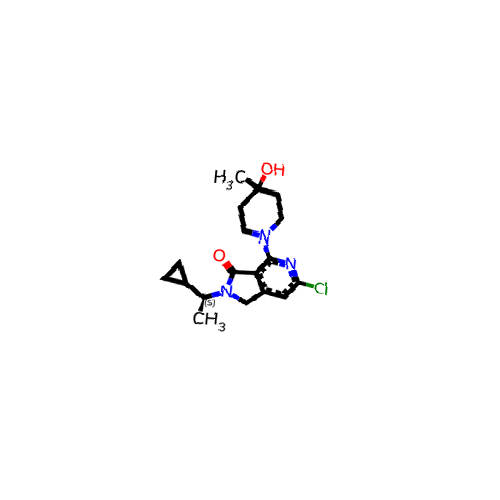 C[C@@H](C1CC1)N1Cc2cc(Cl)nc(N3CCC(C)(O)CC3)c2C1=O